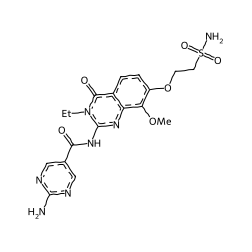 CCn1c(NC(=O)c2cnc(N)nc2)nc2c(OC)c(OCCS(N)(=O)=O)ccc2c1=O